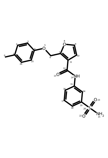 Cc1ccc(OCc2occc2C(=O)Nc2cccc(S(N)(=O)=O)c2)cc1